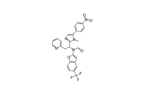 Cn1c(-c2ccc([N+](=O)[O-])cc2)cnc1C(Cc1ccccn1)N(C=O)c1cc2cc(C(F)(F)F)ccc2o1